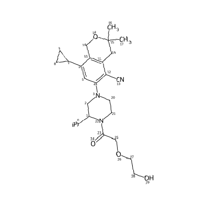 CC(C)C1CN(c2cc(C3CC3)c3c(c2C#N)CC(C)(C)OC3)CCN1C(=O)COCCO